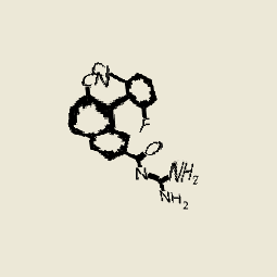 N#Cc1ccc2ccc(C(=O)N=C(N)N)cc2c1-c1c(F)cccc1Cl